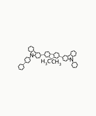 CC1(C)c2cc(-c3ccc4c(c3)c3ccccc3n4-c3ccccc3)ccc2-c2ccc(-c3ccc4c(c3)c3ccccc3n4-c3ccc(-c4ccccc4)cc3)cc21